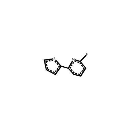 Fc1cccc(-c2cc[c]s2)n1